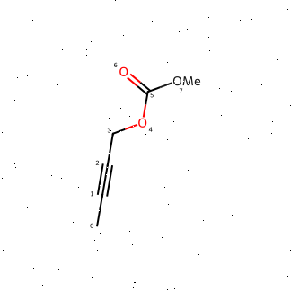 CC#CCOC(=O)OC